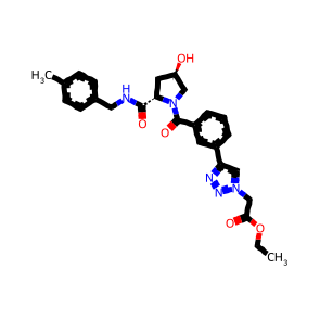 CCOC(=O)Cn1cc(-c2cccc(C(=O)N3C[C@H](O)C[C@H]3C(=O)NCc3ccc(C)cc3)c2)nn1